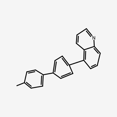 Cc1ccc(-c2ccc(-c3cccc4ncccc34)cc2)cc1